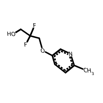 Cc1ccc(OCC(F)(F)CO)cn1